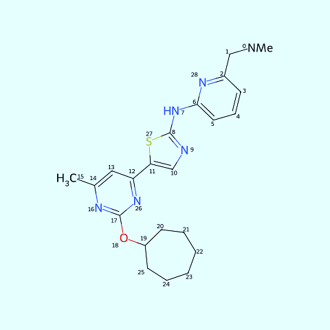 CNCc1cccc(Nc2ncc(-c3cc(C)nc(OC4CCCCCC4)n3)s2)n1